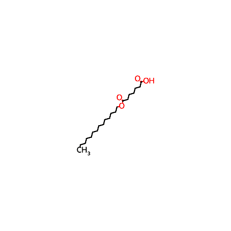 CCCCCCCCCCCCCCOC(=O)CCCCCC(=O)O